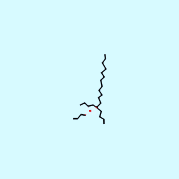 CCCCCCCCCCCCC(CCCC)(CCCC)OOCCCC